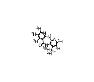 [2H]c1nc2c(c([2H])c1[2H])C(=O)N([2H])c1c(nc([2H])c([2H])c1C([2H])([2H])[2H])N2C